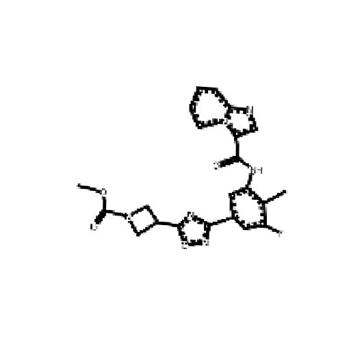 COC(=O)N1CC(c2nc(-c3cc(F)c(C)c(NC(=O)c4cnc5ccccn45)c3)no2)C1